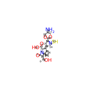 C[C@@H](O)[C@H]1C(=O)N2C(C(=O)O)=C([C@@H]3C[C@@H](C4OCC(N)CO4)N(S)C3)[C@H](C)[C@@H]12